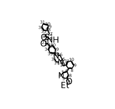 CCOc1cncc(-c2ccccc2CN2CCN(c3ccc(C(=O)N[S+]([O-])Cc4ccccc4)cc3)CC2)c1